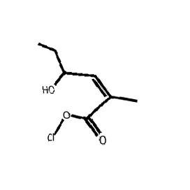 CCC(O)C=C(C)C(=O)OCl